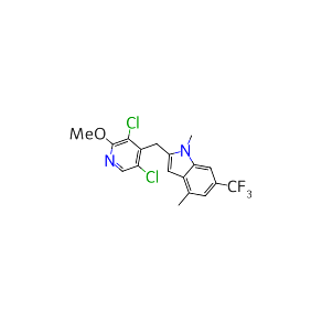 COc1ncc(Cl)c(Cc2cc3c(C)cc(C(F)(F)F)cc3n2C)c1Cl